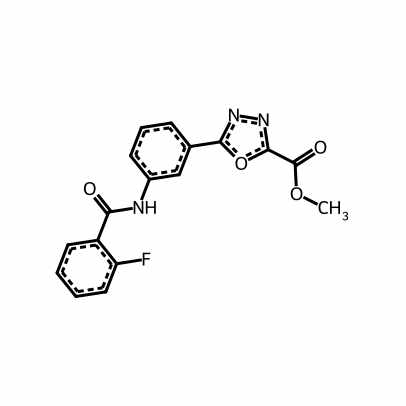 COC(=O)c1nnc(-c2cccc(NC(=O)c3ccccc3F)c2)o1